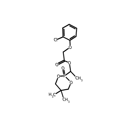 CC(OC(=O)COc1ccccc1Cl)P1(=O)OCC(C)(C)CO1